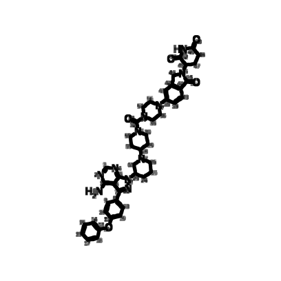 Nc1ncnc2c1c(-c1ccc(Oc3ccccc3)cc1)nn2C1CCCN(C2CCN(C(=O)N3CCN(c4ccc5c(c4)CN(C4CCC(=O)NC4=O)C5=O)CC3)CC2)C1